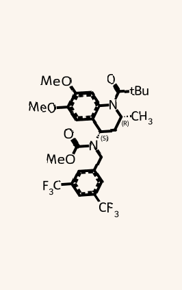 COC(=O)N(Cc1cc(C(F)(F)F)cc(C(F)(F)F)c1)[C@H]1C[C@@H](C)N(C(=O)C(C)(C)C)c2cc(OC)c(OC)cc21